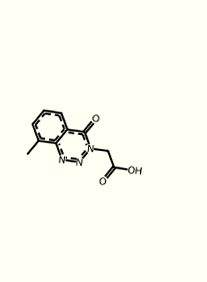 Cc1cccc2c(=O)n(CC(=O)O)nnc12